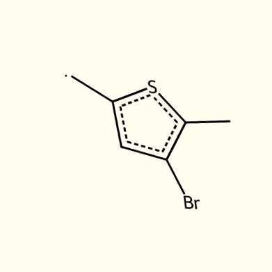 [CH2]c1cc(Br)c(C)s1